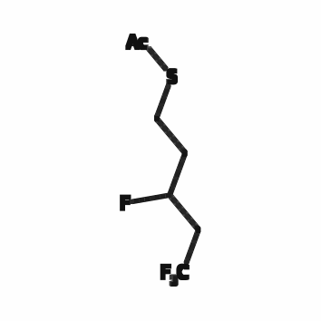 CC(=O)SCCC(F)CC(F)(F)F